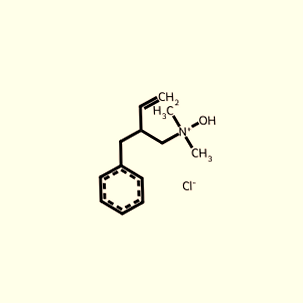 C=CC(Cc1ccccc1)C[N+](C)(C)O.[Cl-]